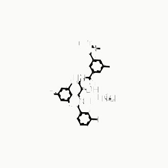 CCCN(C)Cc1cc(C)cc(C(=O)N[C@@H](Cc2cc(F)cc(F)c2)[C@H](O)CNCc2cccc(I)c2)c1.Cl.Cl